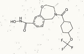 C[C@H]1COc2cc(C(=O)NO)ccc2CN1C(=O)C1CCC(OC(F)(F)F)CC1